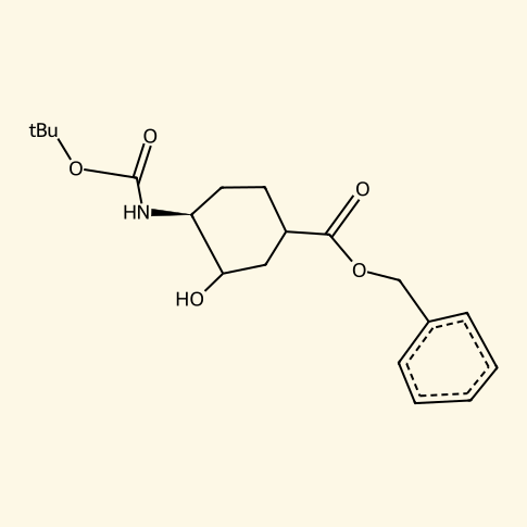 CC(C)(C)OC(=O)N[C@H]1CCC(C(=O)OCc2ccccc2)CC1O